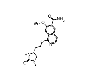 CC(C)Oc1cc2c(OCC[C@@H]3CN(C)C(=O)N3)nccc2cc1C(N)=O